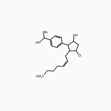 CC(C)(C)C(O)c1ccc(C2C(O)CC(Cl)C2C/C=C\CCCC(=O)O)cc1